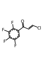 O=C(C=CCl)c1cc(F)c(F)c(F)c1F